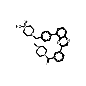 CN1CCN(C(=O)c2cccc(-c3cnc4cccc(-c5ccc(CN6CCS(O)(O)CC6)cc5)c4n3)c2)CC1